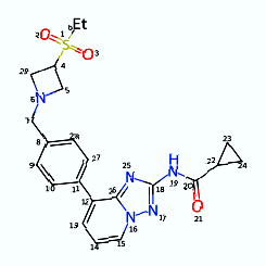 CCS(=O)(=O)C1CN(Cc2ccc(-c3cccn4nc(NC(=O)C5CC5)nc34)cc2)C1